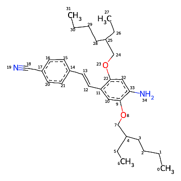 CCCCC(CC)COc1cc(C=Cc2ccc(C#N)cc2)c(OCC(CC)CCCC)cc1N